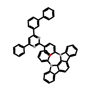 c1ccc(-c2cccc(-c3cc(-c4ccccc4)nc(-c4ccc(-n5c6ccccc6c6ccc7c8ccccc8n(-c8ccccc8)c7c65)cc4)n3)c2)cc1